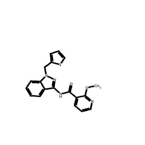 COc1ncccc1C(=O)Nc1nn(Cc2cccs2)c2ccccc12